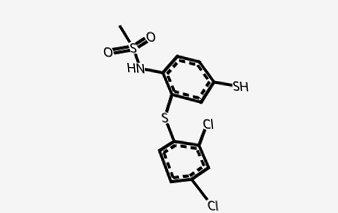 CS(=O)(=O)Nc1ccc(S)cc1Sc1ccc(Cl)cc1Cl